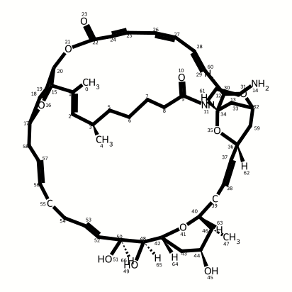 C/C(=C\[C@H](C)CCCCC(=O)NCCN)C1OC2C=CC1OC(=O)\C=C/C=C\C=C\[C@H]1OC3C[C@@H]1O[C@@H](/C=C/C[C@H]1O[C@H](C[C@H](O)[C@H]1C)[C@@H](O)[C@@H](O)/C=C/CC/C=C/C2)C3